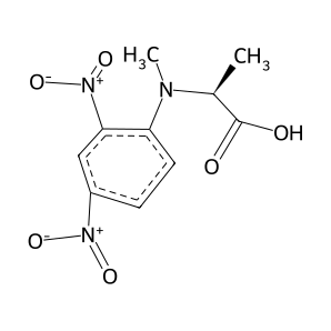 C[C@@H](C(=O)O)N(C)c1ccc([N+](=O)[O-])cc1[N+](=O)[O-]